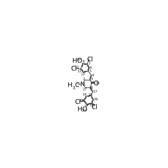 CN1C/C(=C\c2cc(Cl)c(O)c(Cl)c2)C(=O)/C(=C/c2cc(Cl)c(O)c(Cl)c2)C1